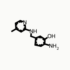 Cc1ccnc(NCc2ccc(N)c(O)c2)c1